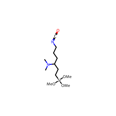 CO[Si](CCC(CCCN=C=O)N(C)C)(OC)OC